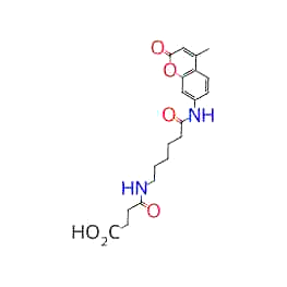 Cc1cc(=O)oc2cc(NC(=O)CCCCCNC(=O)CCC(=O)O)ccc12